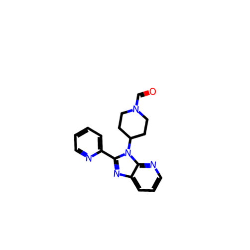 O=CN1CCC(n2c(-c3ccccn3)nc3cccnc32)CC1